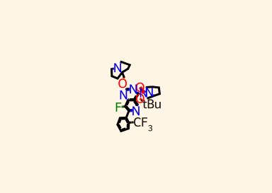 CC(C)(C)OC(=O)N1C2CCC1CN(c1nc(OCC34CCCN3CCC4)nc3c(F)c(-c4ccccc4C(F)(F)F)ncc13)C2